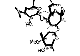 CO[C@]1(C)C[C@H](O[C@H]2[C@H](C)[C@@H](O[C@@H]3O[C@H](C)C[C@H](N(C)C)[C@H]3O)[C@@](C)(C[C@@H](C)O)OC(=O)[C@@H]2C)O[C@@H](C)[C@@H]1O